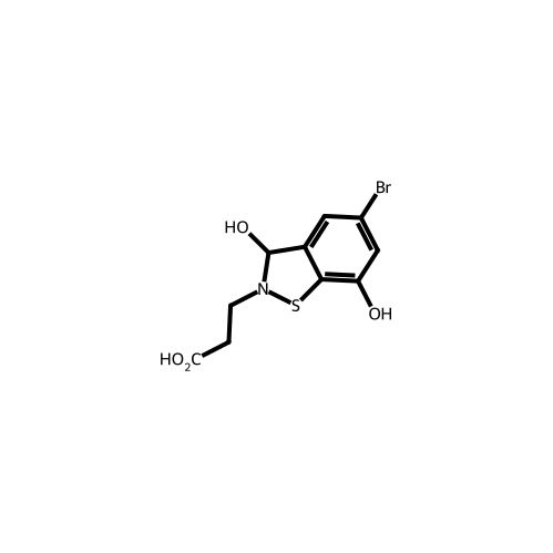 O=C(O)CCN1Sc2c(O)cc(Br)cc2C1O